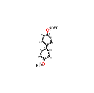 CCCOc1ccc(-c2ccc(OCC)cc2)cc1